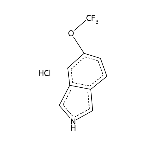 Cl.FC(F)(F)Oc1ccc2c[nH]cc2c1